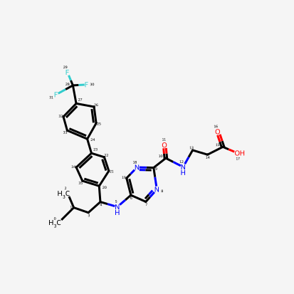 CC(C)CC(Nc1cnc(C(=O)NCCC(=O)O)nc1)c1ccc(-c2ccc(C(F)(F)F)cc2)cc1